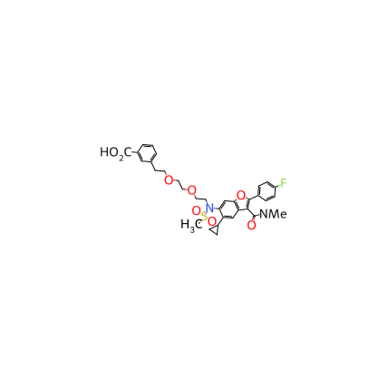 CNC(=O)c1c(-c2ccc(F)cc2)oc2cc(N(CCOCCOCCc3cccc(C(=O)O)c3)S(C)(=O)=O)c(C3CC3)cc12